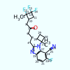 CC1(n2c(CCCC(=O)CC3CC(F)(F)C3(C)F)nc3ccc(F)c(C#N)c32)CCC1